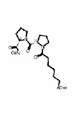 CCCCCCCCCCCCCCCC(=O)N1CCC[C@H]1C(=O)N1CCC[C@H]1C(=O)OC